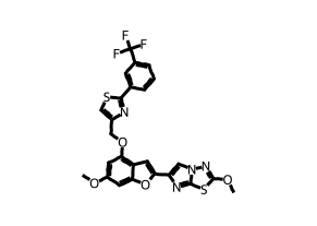 COc1cc(OCc2csc(-c3cccc(C(F)(F)F)c3)n2)c2cc(-c3cn4nc(OC)sc4n3)oc2c1